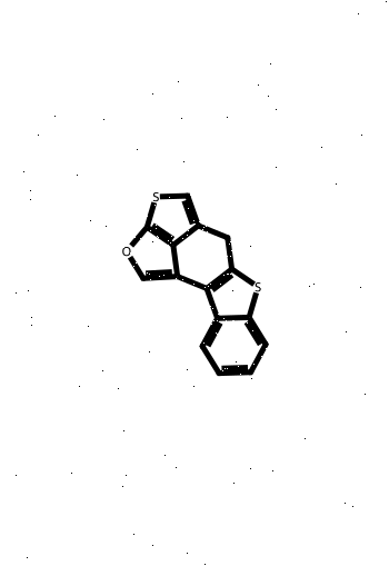 c1ccc2c3c(sc2c1)Cc1csc2occ-3c12